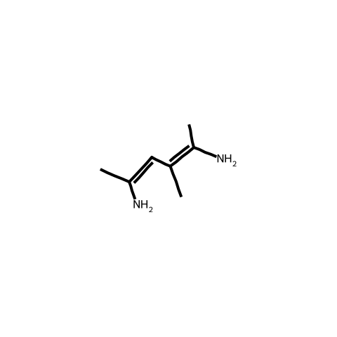 C/C(N)=C/C(C)=C(\C)N